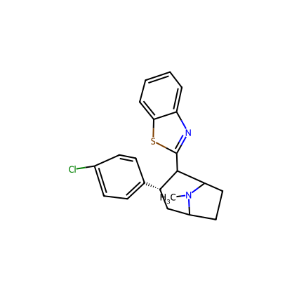 CN1C2CCC1C(c1nc3ccccc3s1)[C@@H](c1ccc(Cl)cc1)C2